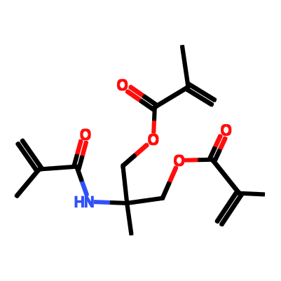 C=C(C)C(=O)NC(C)(COC(=O)C(=C)C)COC(=O)C(=C)C